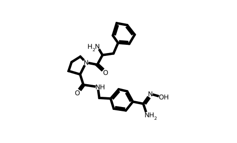 NC(=NO)c1ccc(CNC(=O)C2CCCN2C(=O)C(N)Cc2ccccc2)cc1